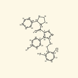 O=C(c1cnc(SCc2c(F)cccc2Cl)n1-c1ccc(F)cc1)N1CCCC1c1ccncc1